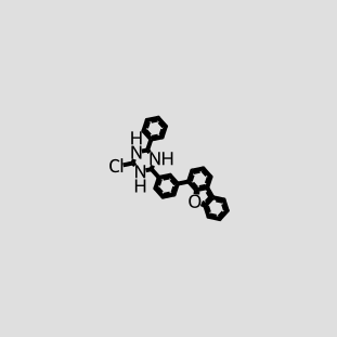 ClC1NC(c2ccccc2)NC(c2cccc(-c3cccc4c3oc3ccccc34)c2)N1